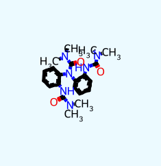 CN(C)C(=O)Nc1ccccc1N(C(=O)N(C)C)c1ccccc1NC(=O)N(C)C